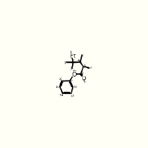 CCC(C)(C)C(C)C(C)C(=O)Oc1ccccc1